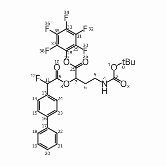 CC(C)(C)OC(=O)NCCC(OC(=O)C(F)c1ccc(-c2ccccc2)cc1)C(=O)Oc1c(F)c(F)c(F)c(F)c1F